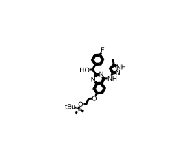 Cc1cc(Nc2nc(C(O)c3ccc(F)cc3)nc3cc(OCCO[Si](C)(C)C(C)(C)C)ccc23)n[nH]1